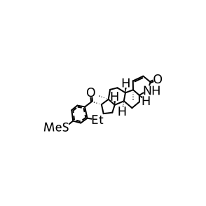 CCc1cc(SC)ccc1C(=O)[C@H]1CC[C@H]2[C@@H]3CC[C@H]4NC(=O)C=C[C@]4(C)[C@H]3CC[C@]12C